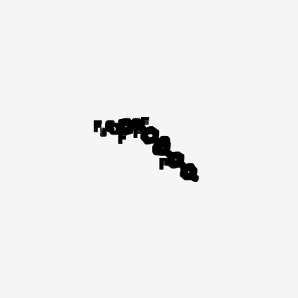 Cc1ccc(-c2ccc(C3COC(C4CCC(C(F)(F)Oc5ccc(OC(F)(F)F)c(F)c5)CC4)OC3)c(F)c2)cc1